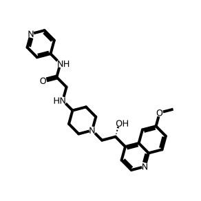 COc1ccc2nccc([C@@H](O)CN3CCC(NCC(=O)Nc4ccncc4)CC3)c2c1